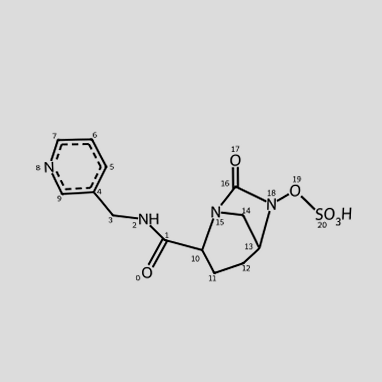 O=C(NCc1cccnc1)C1CCC2CN1C(=O)N2OS(=O)(=O)O